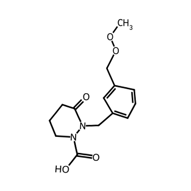 COOCc1cccc(CN2C(=O)CCCN2C(=O)O)c1